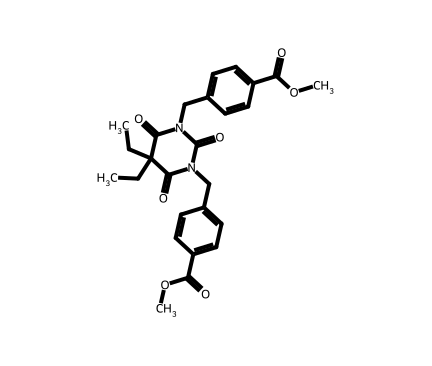 CCC1(CC)C(=O)N(Cc2ccc(C(=O)OC)cc2)C(=O)N(Cc2ccc(C(=O)OC)cc2)C1=O